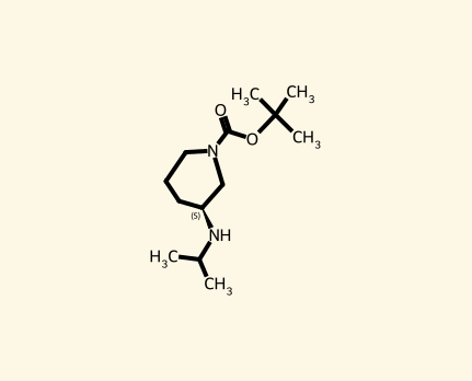 CC(C)N[C@H]1CCCN(C(=O)OC(C)(C)C)C1